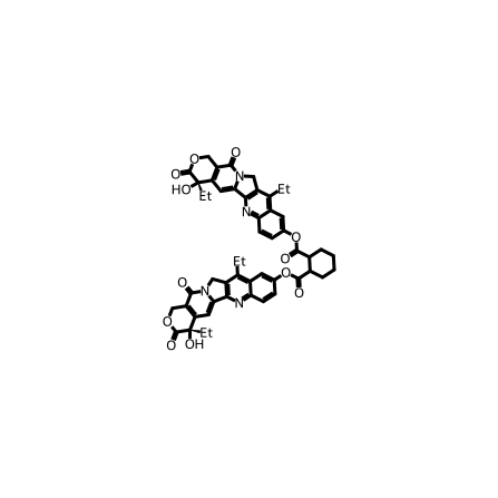 CCc1c2c(nc3ccc(OC(=O)C4CCCCC4C(=O)Oc4ccc5nc6c(c(CC)c5c4)Cn4c-6cc5c(c4=O)COC(=O)[C@]5(O)CC)cc13)-c1cc3c(c(=O)n1C2)COC(=O)[C@]3(O)CC